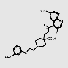 COc1cccc(SCCN2CCC(CC[C@@H](F)c3c(Cl)cnc4ccc(OC)cc34)(C(=O)O)CC2)c1